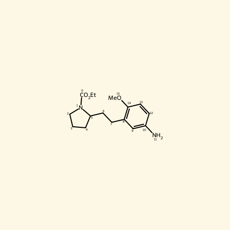 CCOC(=O)N1CCCC1CCc1cc(N)ccc1OC